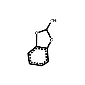 [CH]C1Oc2ccccc2O1